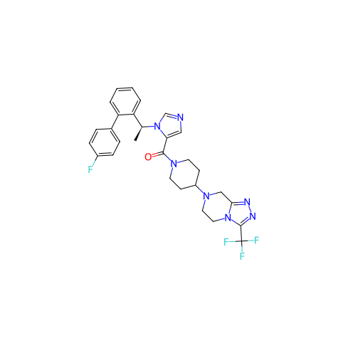 C[C@@H](c1ccccc1-c1ccc(F)cc1)n1cncc1C(=O)N1CCC(N2CCn3c(nnc3C(F)(F)F)C2)CC1